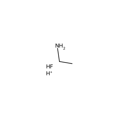 CCN.F.[H+]